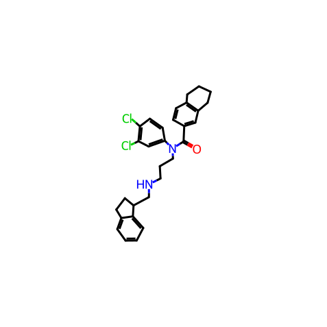 O=C(c1ccc2c(c1)CCCC2)N(CCCNCC1CCc2ccccc21)c1ccc(Cl)c(Cl)c1